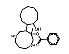 CC1(OC(=O)c2ccccc2)CNCCCNCC1C1CCCCCCCC1O